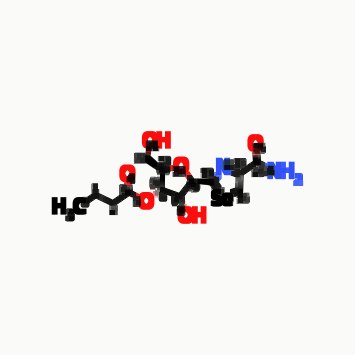 CCCC(=O)O[C@H]1[C@@H](O)[C@H](c2nc(C(N)=O)c[se]2)O[C@@H]1CO